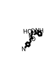 CN(C(=O)C=Cc1ccc(C#N)cc1)[C@@H](Cc1c[nH]c2ccccc12)C(=O)O